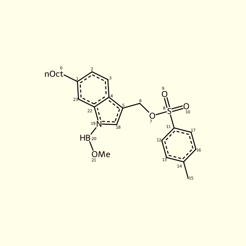 CCCCCCCCc1ccc2c(COS(=O)(=O)c3ccc(C)cc3)cn(BOC)c2c1